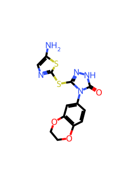 Nc1cnc(Sc2n[nH]c(=O)n2-c2ccc3c(c2)OCCO3)s1